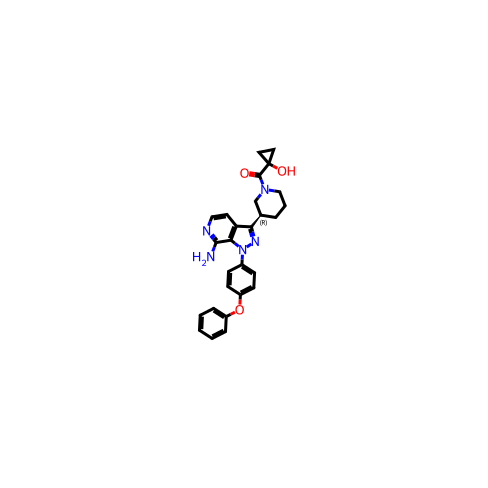 Nc1nccc2c([C@@H]3CCCN(C(=O)C4(O)CC4)C3)nn(-c3ccc(Oc4ccccc4)cc3)c12